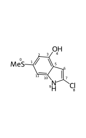 CSc1cc(O)c2cc(Cl)[nH]c2c1